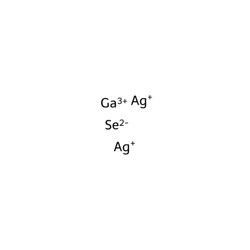 [Ag+].[Ag+].[Ga+3].[Se-2]